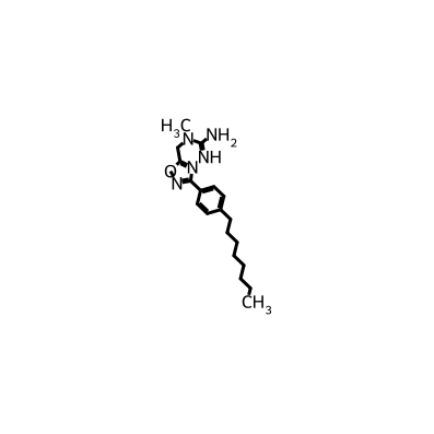 CCCCCCCCc1ccc(-c2noc(CN(C)C(=N)N)n2)cc1